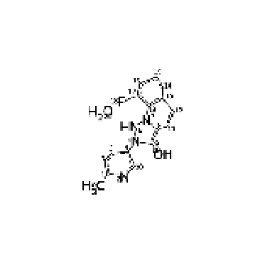 Cc1ccc(N2NN3C(=C2O)C=Cc2cccc(F)c23)cn1.O